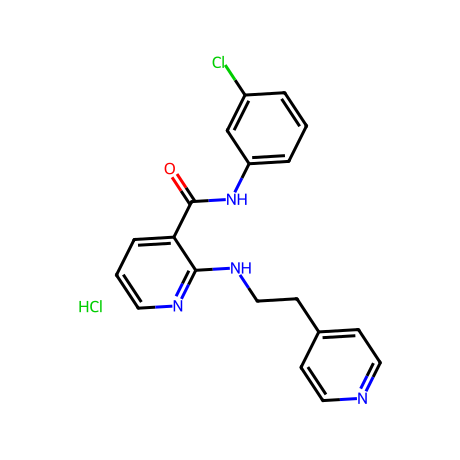 Cl.O=C(Nc1cccc(Cl)c1)c1cccnc1NCCc1ccncc1